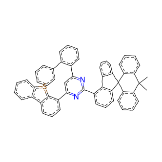 CC1(C)c2ccccc2C2(c3ccccc3-c3c(-c4nc(-c5ccccc5-c5ccccc5)cc(-c5cccc6c5sc5ccccc56)n4)cccc32)c2ccccc21